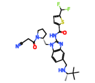 C[C@H](NCc1ccc2c(c1)nc(NC(=O)c1ccc(C(F)F)s1)n2C[C@H]1CCCN1C(=O)CC#N)C(C)(C)C